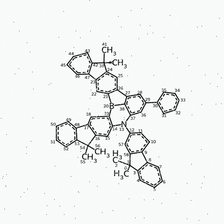 CC1(C)c2ccccc2-c2ccc(N3c4cc5c(cc4B4c6cc7c(cc6-c6cc(-c8ccccc8)cc3c64)C(C)(C)c3ccccc3-7)-c3ccccc3C5(C)C)cc21